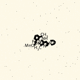 COCC(F)(F)c1cccc([C@@H](C)Nc2nnc(C)c3ncc(N4CC5CC(C4)O5)cc23)c1